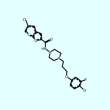 O=C(NN1CCN(CCCOc2ccc(Cl)c(F)c2)CC1)c1cc2cc(Cl)ccc2o1